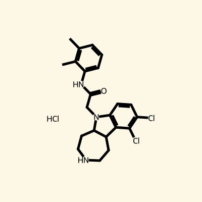 Cc1cccc(NC(=O)CN2c3ccc(Cl)c(Cl)c3C3CCNCCC32)c1C.Cl